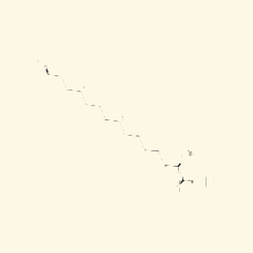 O=CCCCCCCCCCCCCC(=O)C(=O)O